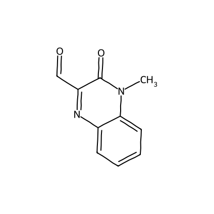 Cn1c(=O)c(C=O)nc2ccccc21